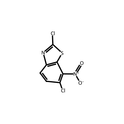 O=[N+]([O-])c1c(Cl)ccc2nc(Cl)sc12